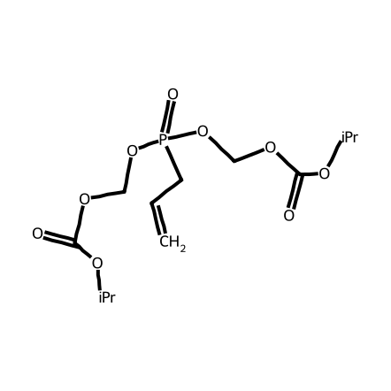 C=CCP(=O)(OCOC(=O)OC(C)C)OCOC(=O)OC(C)C